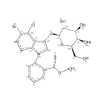 COC(=O)c1ccccc1-n1cc(O[C@@H]2O[C@H](CO)[C@H](O)[C@H](O)[C@H]2O)c2c(Cl)c(Br)ccc21